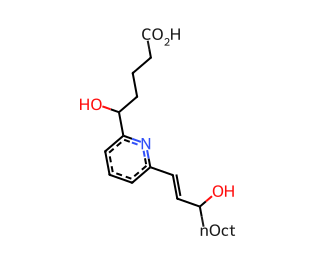 CCCCCCCCC(O)C=Cc1cccc(C(O)CCCC(=O)O)n1